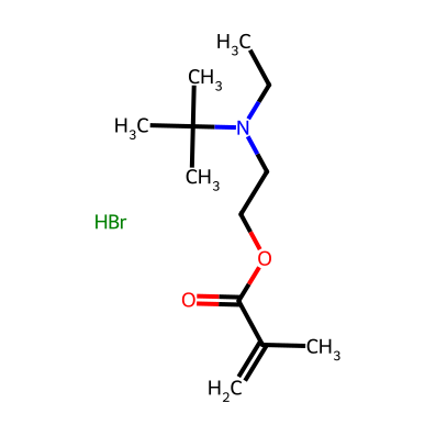 Br.C=C(C)C(=O)OCCN(CC)C(C)(C)C